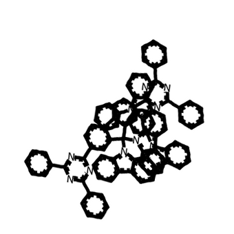 c1ccc(-c2nc(-c3ccccc3)nc(-c3ccc4c(c3)C(n3c5ccccc5c5ccc6c7ccccc7n(-c7ccccc7)c6c53)(n3c5ccccc5c5ccc6c7ccccc7n(-c7ccccc7)c6c53)c3cc(-c5nc(-c6ccccc6)nc(-c6ccccc6)n5)ccc3-4)n2)cc1